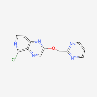 Clc1nccc2nc(OCc3ncccn3)cnc12